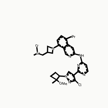 COC1(C)CCC1n1cc(-c2nccc(Nc3cc4c(C(C)C)ccc(N5CC(C[S+](C)[O-])C5)c4cn3)n2)c(Cl)n1